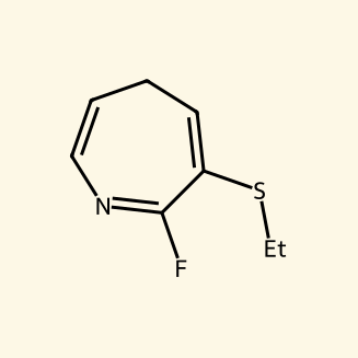 CCSC1=CCC=CN=C1F